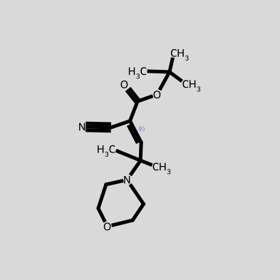 CC(C)(C)OC(=O)/C(C#N)=C/C(C)(C)N1CCOCC1